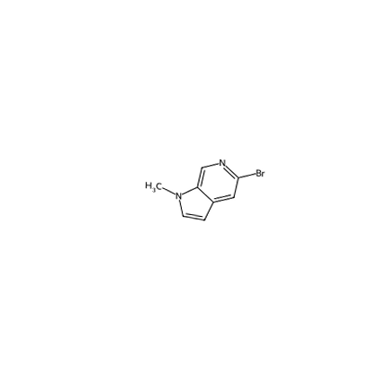 Cn1ccc2cc(Br)ncc21